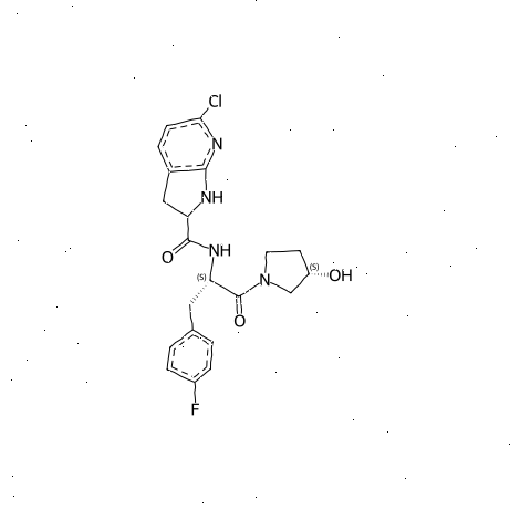 O=C(N[C@@H](Cc1ccc(F)cc1)C(=O)N1CC[C@H](O)C1)C1Cc2ccc(Cl)nc2N1